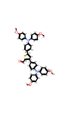 COc1ccc(N(c2ccc(OC)cc2)c2ccc(-c3cc(-c4ccc(N(c5ccc(OC)cc5)c5ccc(OC)cc5)cc4)c(C=O)s3)cc2)cc1